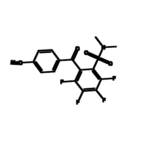 COc1ccc(C(=O)c2c(F)c(F)c(F)c(F)c2S(=O)(=O)N(C)C)cc1